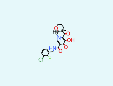 C[C@]12CCCO[C@@H]1Cn1cc(C(=O)NCc3cccc(Cl)c3F)c(=O)c(O)c1C2=O